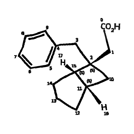 O=C(O)C[C@@]1(Cc2ccccc2)C[C@@H]2CCC[C@@H]21